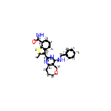 Cc1sc2c(C(N)=O)cccc2c1-c1nc2c(c(NCc3ccccc3)n1)COCCC2